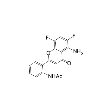 CC(=O)Nc1ccccc1-c1cc(=O)c2c(N)c(F)cc(F)c2o1